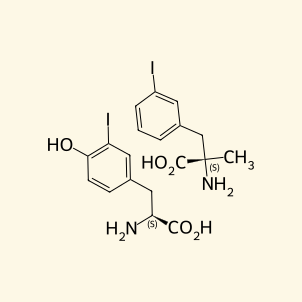 C[C@](N)(Cc1cccc(I)c1)C(=O)O.N[C@@H](Cc1ccc(O)c(I)c1)C(=O)O